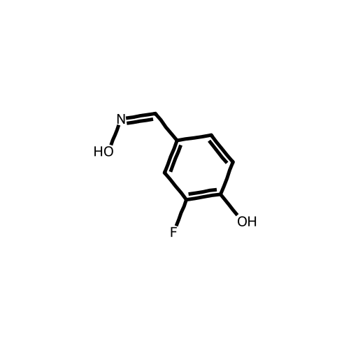 O/N=C\c1ccc(O)c(F)c1